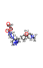 CCOC1(c2ccc(-c3cc4c(N5CCN(C(=O)OC6COC6)CC5)ccnn4c3)cc2)CCN(C(C)C)CC1